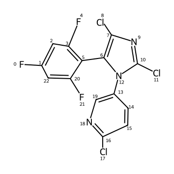 Fc1cc(F)c(-c2c(Cl)nc(Cl)n2-c2ccc(Cl)nc2)c(F)c1